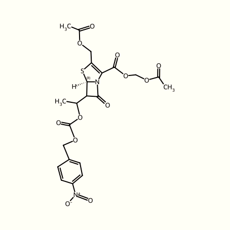 CC(=O)OCOC(=O)C1=C(COC(C)=O)S[C@@H]2C(C(C)OC(=O)OCc3ccc([N+](=O)[O-])cc3)C(=O)N12